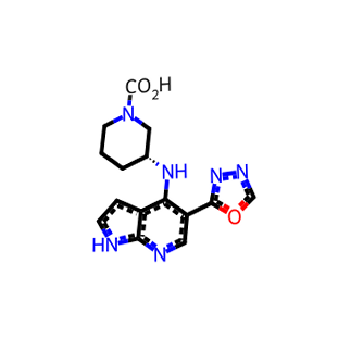 O=C(O)N1CCC[C@@H](Nc2c(-c3nnco3)cnc3[nH]ccc23)C1